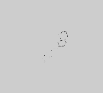 CC(C)(C)CC(C)(C)CC=CCc1ccc2cccnc2c1O